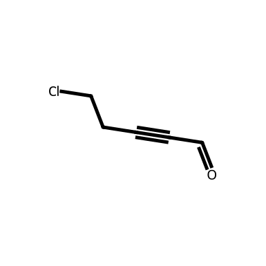 O=CC#CCCCl